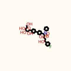 O=S1(=O)C(CCC(O)c2ccc(F)cc2)C(c2ccc(-c3ccc(C4OC(CO)C(O)C(O)C4O)cc3)cc2O)N1c1ccccc1